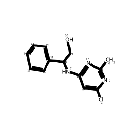 Cc1nc(Cl)cc(NC(CO)c2ccccc2)n1